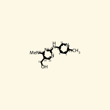 CNc1nc(Nc2ccc(C)nc2)ncc1CO